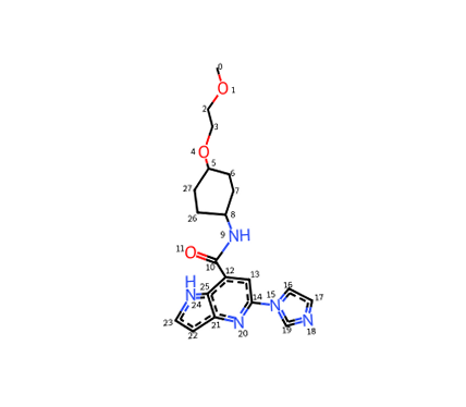 COCCOC1CCC(NC(=O)c2cc(-n3ccnc3)nc3cc[nH]c23)CC1